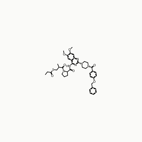 CCC(=O)SCC(C)C(=O)N1CCCC1C(=O)Nc1nc(N2CCN(C(=O)c3ccc(OCc4ccccc4)cc3)CC2)nc2cc(OC)c(OC)cc12